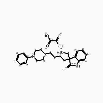 CCC1(CCCCN2CCN(c3ccccc3)CC2)C(=O)Nc2ccccc21.O=C(O)C(=O)O